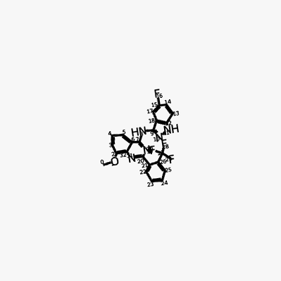 COc1cccc2c(Nc3n[nH]c4ccc(F)cc34)nc(-c3ccccc3C(F)(F)F)nc12